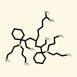 CCCC[16N](CCCC)C1(C(CC)CC(CCCCC(N)N)CC(CC)C2([16N](CCCC)CCCC)CCCCC2)CCCCC1